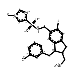 CNCC1Cc2cc(F)c(CNS(=O)(=O)c3cn(C)cn3)cc2C1Cc1cccc(Cl)c1